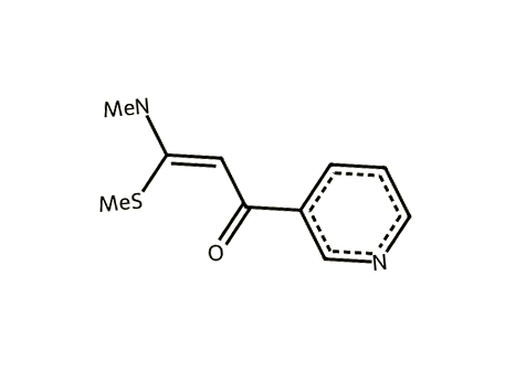 CNC(=CC(=O)c1cccnc1)SC